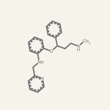 CNCCC(Oc1ccccc1NCc1ccccn1)c1ccccc1